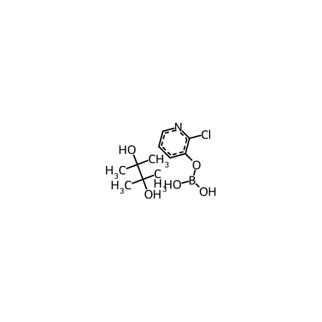 CC(C)(O)C(C)(C)O.OB(O)Oc1cccnc1Cl